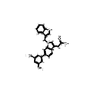 Nc1cc(N)cc(-c2ccc3c(CC(=O)O)cn(Cc4csc5ccccc45)c3c2)c1